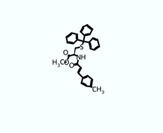 COC(=O)[C@@H](CSC(c1ccccc1)(c1ccccc1)c1ccccc1)NC(=O)/C=C/c1ccc(C)cc1